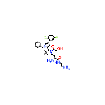 CC(C)(C)[C@H](c1cc(-c2cc(F)ccc2F)cn1Cc1ccccc1)N(CC[C@H](N)C(=O)NCCN)C(=O)CO